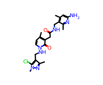 Cc1cc(N)nc(C)c1CNC(=O)Cc1c(C)ccn(NCc2c(C)nn(C)c2Cl)c1=O